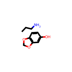 CCCN.Oc1ccc2c(c1)OCO2